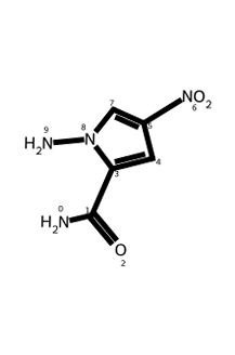 NC(=O)c1cc([N+](=O)[O-])cn1N